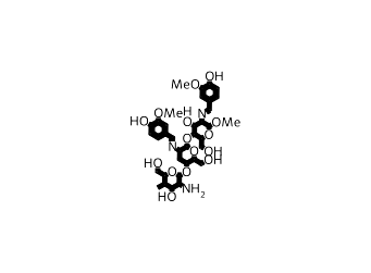 COc1cc(/C=N/C2CC(OC3OC(CO)C(C)C(O)C3N)C(CO)OC2OC2C(CO)OC(OC)C(/N=C/c3ccc(O)c(OC)c3)C2O)ccc1O